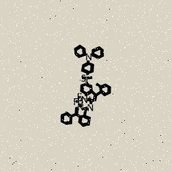 Cc1ccccc1-c1cc2[n+](c3ccc([Si](C)(C)c4ccc(N(c5ccccc5)c5ccccc5)cc4)cc13)[B-](F)(F)N1C=C(c3ccccc3)c3ccccc3C1=N2